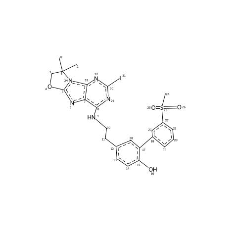 CC1(C)COc2nc3c(NCCc4ccc(O)c(-c5cccc(S(C)(=O)=O)c5)c4)nc(I)nc3n21